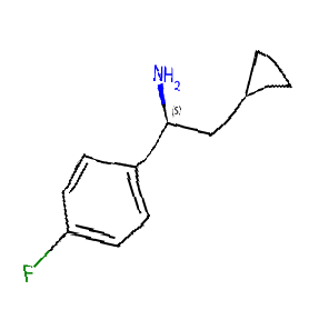 N[C@@H](CC1CC1)c1ccc(F)cc1